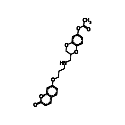 CC(=O)Oc1ccc2c(c1)OCC(CNCCCOc1ccc3ccc(=O)oc3c1)O2